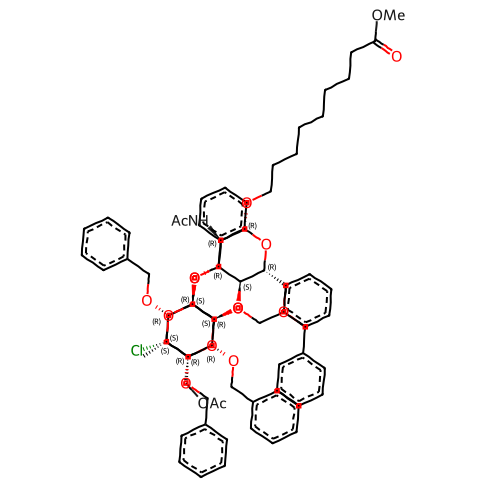 COC(=O)CCCCCCCCO[C@@H]1O[C@H](COCc2ccccc2)[C@@H](O[C@@H]2O[C@H](COC(C)=O)[C@H](Cl)[C@H](OCc3ccccc3)[C@H]2OCc2ccccc2)[C@H](O[C@@H]2O[C@@H](C)[C@@H](OCc3ccccc3)[C@@H](OCc3ccccc3)[C@@H]2OCc2ccccc2)[C@H]1NC(C)=O